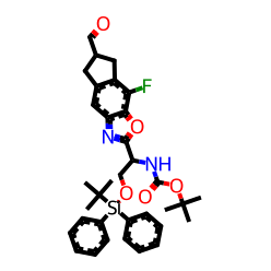 CC(C)(C)OC(=O)NC(CO[Si](c1ccccc1)(c1ccccc1)C(C)(C)C)c1nc2cc3c(c(F)c2o1)CC(C=O)C3